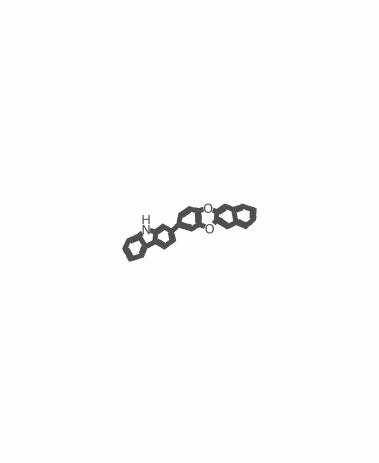 c1ccc2cc3c(cc2c1)Oc1ccc(-c2ccc4c(c2)[nH]c2ccccc24)cc1O3